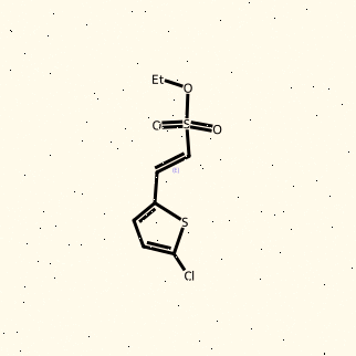 CCOS(=O)(=O)/C=C/c1ccc(Cl)s1